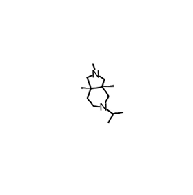 CC(C)N1CC[C@]2(C)CN(C)C[C@]2(C)C1